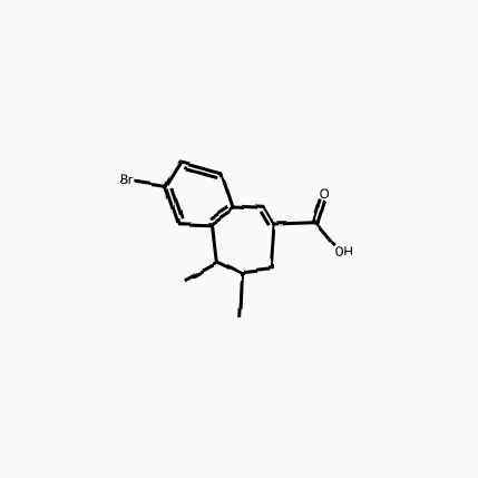 CC1CC(C(=O)O)=Cc2ccc(Br)cc2C1C